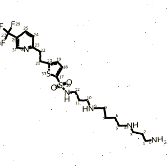 NCCCNCCCCNCCCNS(=O)(=O)c1ccc(CCc2ccc(C(F)(F)F)cn2)s1